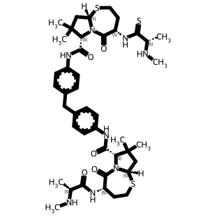 CN[C@@H](C)C(=O)N[C@H]1CCS[C@H]2CC(C)(C)[C@@H](C(=O)Nc3ccc(Cc4ccc(NC(=O)[C@H]5N6C(=O)[C@@H](NC(=S)[C@H](C)NC)CCS[C@H]6CC5(C)C)cc4)cc3)N2C1=O